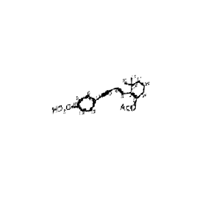 CC(=O)OC1=C(C=CC#Cc2ccc(C(=O)O)cc2)C(C)(C)CCC1